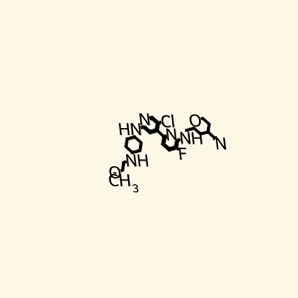 COCCN[C@H]1CC[C@H](Nc2cc(-c3ccc(F)c(NCC4CC(C#N)CCO4)n3)c(Cl)cn2)CC1